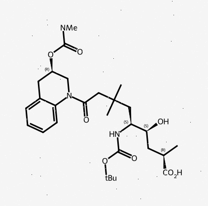 CNC(=O)O[C@@H]1Cc2ccccc2N(C(=O)CC(C)(C)C[C@H](NC(=O)OC(C)(C)C)[C@@H](O)C[C@@H](C)C(=O)O)C1